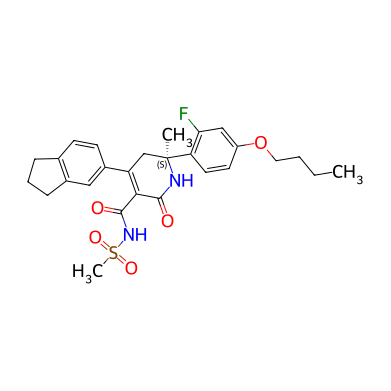 CCCCOc1ccc([C@]2(C)CC(c3ccc4c(c3)CCC4)=C(C(=O)NS(C)(=O)=O)C(=O)N2)c(F)c1